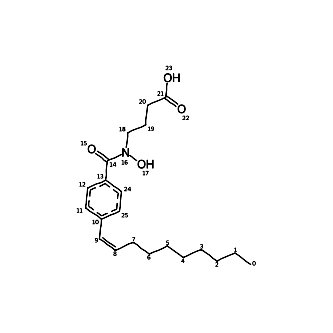 CCCCCCCC/C=C\c1ccc(C(=O)N(O)CCCC(=O)O)cc1